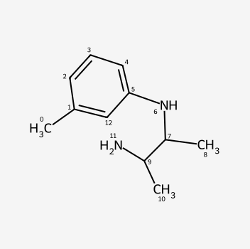 Cc1cccc(NC(C)C(C)N)c1